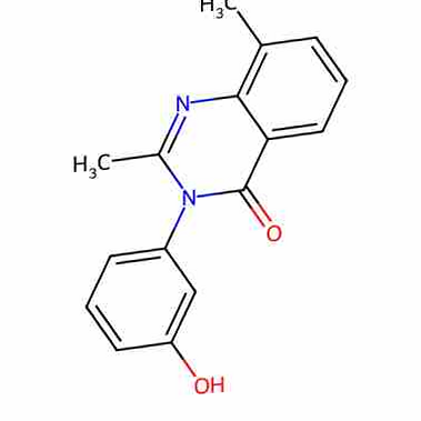 Cc1cccc2c(=O)n(-c3cccc(O)c3)c(C)nc12